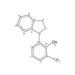 Cc1cc[c]c(C2CCc3ccccc32)c1O